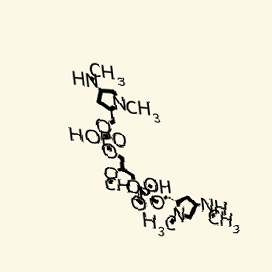 CN[C@@H]1C[C@H](COP(=O)(O)OCC(COP(=O)(O)OC[C@@H]2C[C@H](NC)CN2C)OC)N(C)C1